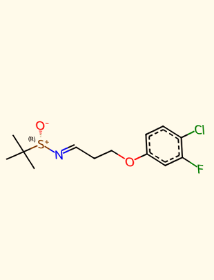 CC(C)(C)[S@+]([O-])N=CCCOc1ccc(Cl)c(F)c1